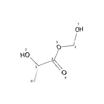 C[C@H](O)C(=O)OCO